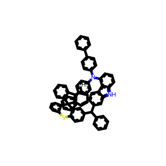 CC1CC=CC2=C1c1ccccc1C21c2ccccc2Sc2ccc(C(c3ccccc3)c3ccc4c(c3)[nH]c3cccc(N(c5ccc(-c6ccccc6)cc5)c5ccc(-c6ccccc6)cc5)c34)cc21